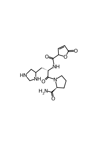 NC(=O)[C@@H]1CCCN1C(=O)[C@H](CC1CNCN1)NC(=O)C1C=CC(=O)O1